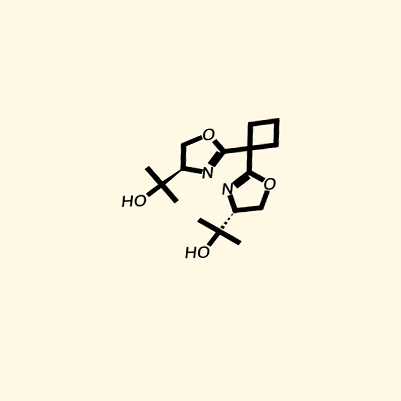 CC(C)(O)[C@H]1COC(C2(C3=N[C@@H](C(C)(C)O)CO3)CCC2)=N1